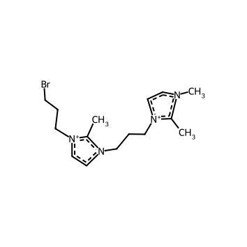 Cc1n(C)cc[n+]1CCCn1cc[n+](CCCBr)c1C